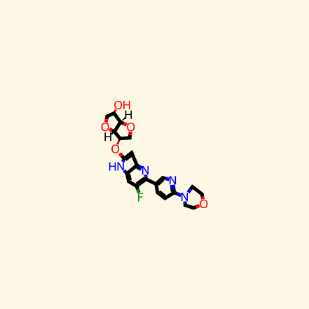 O[C@@H]1CO[C@H]2[C@@H]1OC[C@H]2Oc1cc2nc(-c3ccc(N4CCOCC4)nc3)c(F)cc2[nH]1